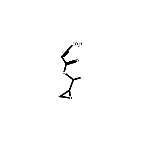 CC(OC(=O)/C=C\C(=O)O)C1CO1